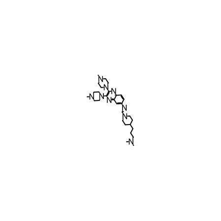 CN(C)CCCC1CCN(C=Nc2ccc3nc(N4CCN(C)CC4)c(N4CCN(C)CC4)nc3c2)CC1